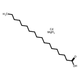 CCCCCCCCCCCCCCCCCC(=O)O.[Cd].[MgH2]